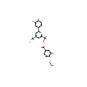 CCNC(C)(C)c1cc(-c2ccc(F)c(Cl)c2)nc(C(O)(CNC(=O)c2ccc(OC[C@H](C)O)c(OC)c2)C(F)(F)F)c1